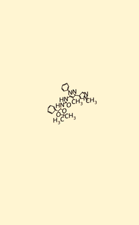 Cc1c(-c2cnn(C)c2)nn(-c2ccccc2)c1NC(=O)N[C@@H]1OC(C)(C)O[C@H]1c1ccccc1